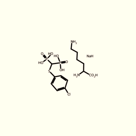 NCCCCC(N)C(=O)O.O=P(O)(O)C(Sc1ccc(Cl)cc1)P(=O)(O)O.[NaH]